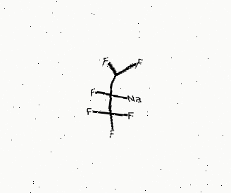 FC(F)[C](F)([Na])C(F)(F)F